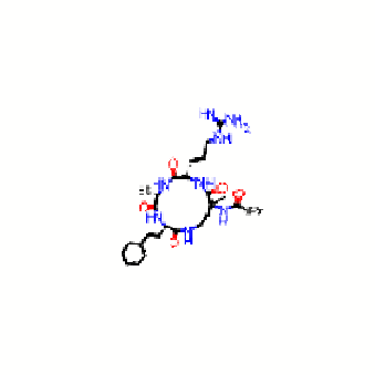 CC[C@@H]1NC(=O)[C@H](CCCNC(=N)N)NC(=O)[C@](C)(NC(=O)C(C)C)CCNC(=O)[C@@H](CCC2CCCCC2)NC1=O